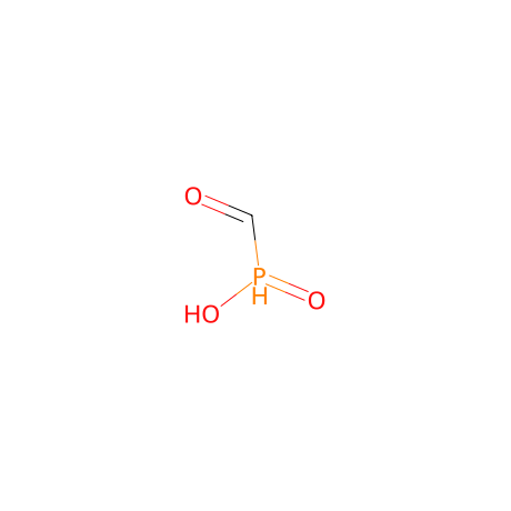 O=C[PH](=O)O